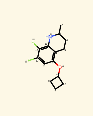 CC1CCc2c(OC3CCC3)cc(F)c(F)c2N1